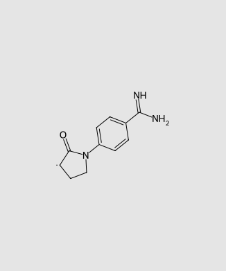 N=C(N)c1ccc(N2CC[CH]C2=O)cc1